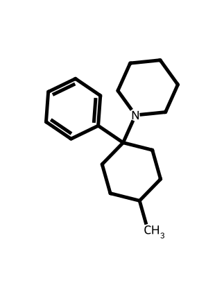 CC1CCC(c2ccccc2)(N2CCCCC2)CC1